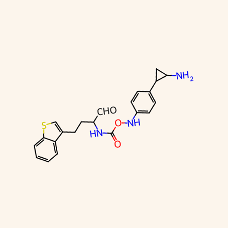 NC1CC1c1ccc(NOC(=O)NC(C=O)CCc2csc3ccccc23)cc1